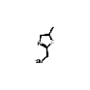 CC1CN=C(CC(C)(C)C)O1